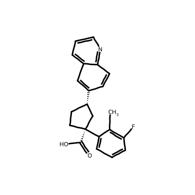 Cc1c(F)cccc1[C@@]1(C(=O)O)CC[C@H](c2ccc3ncccc3c2)C1